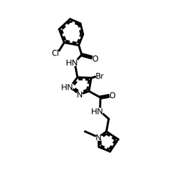 Cn1cccc1CNC(=O)c1n[nH]c(NC(=O)c2ccccc2Cl)c1Br